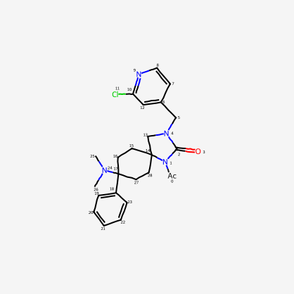 CC(=O)N1C(=O)N(Cc2ccnc(Cl)c2)CC12CCC(c1ccccc1)(N(C)C)CC2